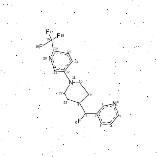 FC(c1cccnc1)C1CCN(c2ccc(C(F)(F)F)nc2)CC1